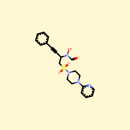 O=CN(O)C(C#Cc1ccccc1)CS(=O)(=O)N1CCN(c2ccccn2)CC1